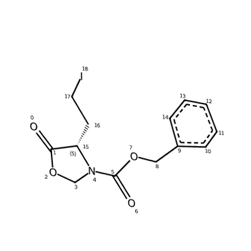 O=C1OCN(C(=O)OCc2ccccc2)[C@H]1CCI